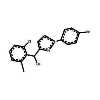 Cc1cccc(Cl)c1C(O)c1ccn(-c2ccc(Br)cc2)n1